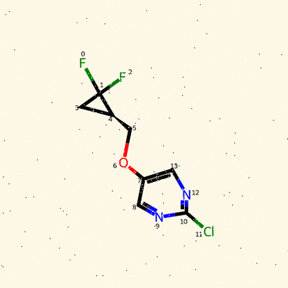 FC1(F)C[C@@H]1COc1cnc(Cl)nc1